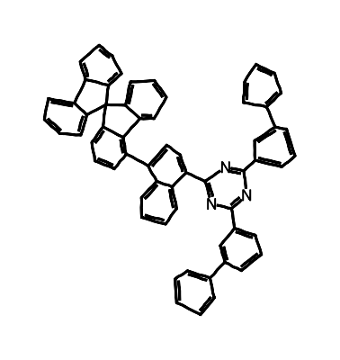 c1ccc(-c2cccc(-c3nc(-c4cccc(-c5ccccc5)c4)nc(-c4ccc(-c5cccc6c5-c5ccccc5C65c6ccccc6-c6ccccc65)c5ccccc45)n3)c2)cc1